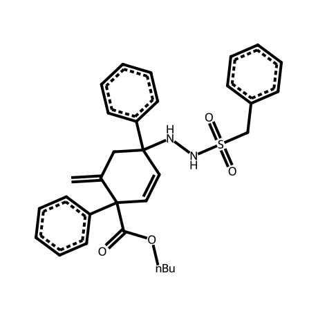 C=C1CC(NNS(=O)(=O)Cc2ccccc2)(c2ccccc2)C=CC1(C(=O)OCCCC)c1ccccc1